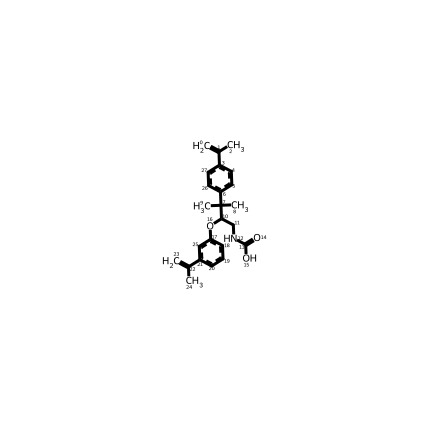 C=C(C)c1ccc(C(C)(C)C(CNC(=O)O)Oc2cccc(C(=C)C)c2)cc1